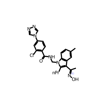 CCCc1c(/C(C)=N/O)c2cc(C)ccc2n1CNC(=O)c1ccc(-n2cnnc2)cc1Cl